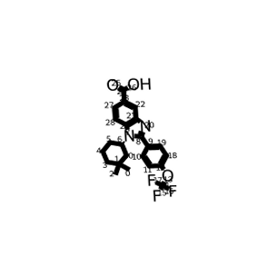 CC1(C)CCC[C@H](n2c(-c3ccc(OC(F)(F)F)cc3)nc3cc(C(=O)O)ccc32)C1